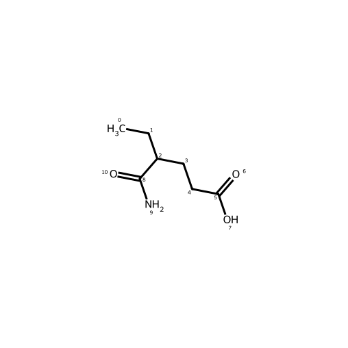 CCC(CCC(=O)O)C(N)=O